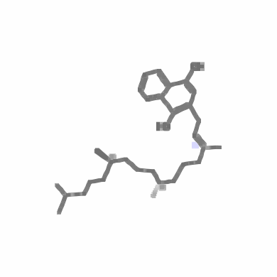 C/C(=C\Cc1cc(O)c2ccccc2c1O)CCC[C@H](C)CCC[C@H](C)CCCC(C)C